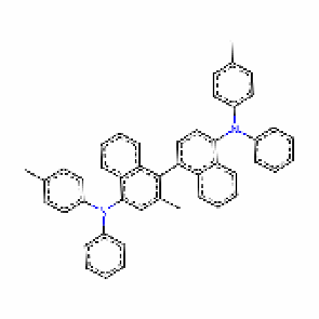 Cc1ccc(N(c2ccccc2)c2ccc(-c3c(C)cc(N(c4ccccc4)c4ccc(C)cc4)c4ccccc34)c3ccccc23)cc1